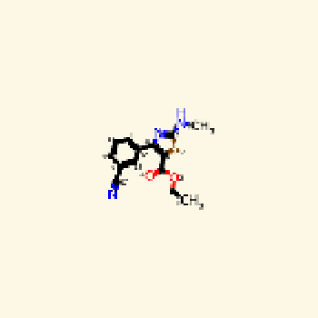 CCOC(=O)c1sc(NC)nc1-c1cccc(C#N)c1